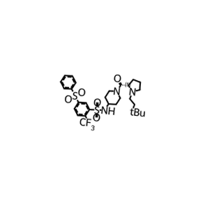 CC(C)(C)CCN1CCC[C@H]1C(=O)N1CCC(NS(=O)(=O)c2cc(S(=O)(=O)c3ccccc3)ccc2C(F)(F)F)CC1